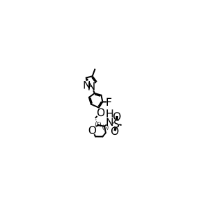 Cc1cnn(-c2ccc(OC[C@H]3OCCC[C@@H]3NS(C)(=O)=O)c(F)c2)c1